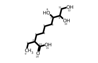 CCC(CCCCC(O)C(O)CO)C(=O)O